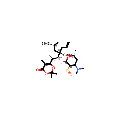 C=CC[C@](C[C@@H](C)C=O)(OC)[C@H](O[C@@H]1O[C@H](C)CC(N(C)C)[C@H]1P=O)[C@@H](C)C1=C(C)C(=O)OC(C)(C)O1